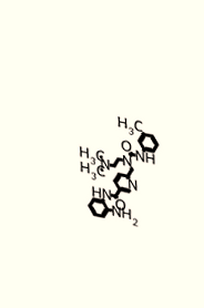 Cc1cccc(NC(=O)N(CCN(C)C)Cc2ccc(C(=O)Nc3ccccc3N)cn2)c1